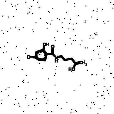 C=C(O)CCCNC(=O)c1ccc(Cl)cc1O